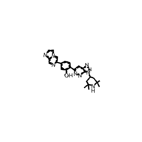 CC1(C)CC(n2nnc3cc(-c4ccc(-c5cn6ccnc6cn5)cc4O)nnc32)CC(C)(C)N1